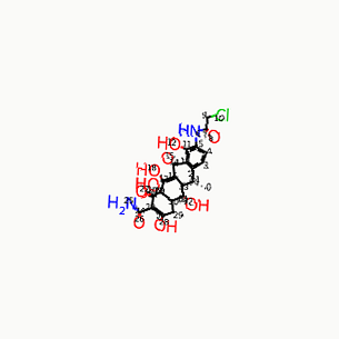 C[C@H]1c2ccc(NC(=O)CCl)c(O)c2C(=O)C2=C(O)[C@]3(O)C(=O)C(C(N)=O)=C(O)CC3[C@@H](O)C21